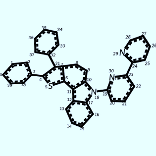 c1ccc(-c2sc3c(ccc4c3c3ccccc3n4-c3cccc(-c4ccccn4)n3)c2-c2ccccc2)cc1